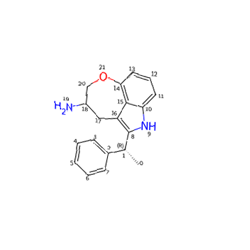 C[C@H](c1ccccc1)c1[nH]c2cccc3c2c1CC(N)CO3